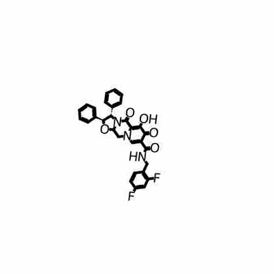 O=C(NCc1ccc(F)cc1F)c1cn2c(c(O)c1=O)C(=O)N1C(C2)O[C@@H](c2ccccc2)[C@@H]1c1ccccc1